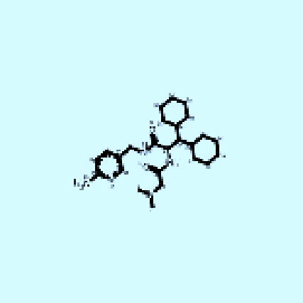 CN(C)CC(=O)N[C@@H](C(=O)NCc1ccc(N)nc1)C(C1CCCCC1)C1CCCCC1